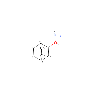 NOC1CC2CCC1CC2